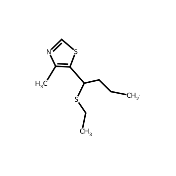 [CH2]CCC(SCC)c1scnc1C